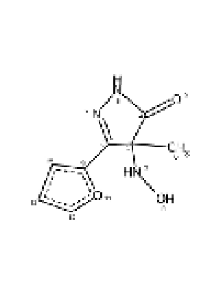 CC1(NO)C(=O)NN=C1c1ccco1